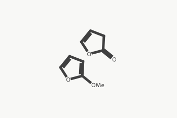 COc1ccco1.O=C1CC=CO1